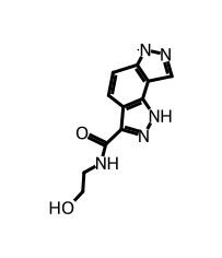 O=C(NCCO)c1n[nH]c2c3c(ccc12)[N]N=C3